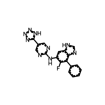 Fc1c(Nc2ncc(-c3nnn[nH]3)cn2)cc2[nH]cnc2c1-c1ccccc1